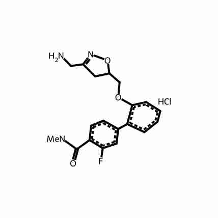 CNC(=O)c1ccc(-c2ccccc2OCC2CC(CN)=NO2)cc1F.Cl